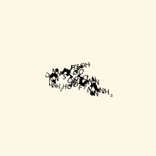 Nc1nc2c(ncn2[C@H]2C[C@@H](F)[C@@H](COP(=O)(O)O[C@@H]3[C@@H](COP(=O)(O)S)O[C@@H](n4nnc5c(N)ncnc54)C3(F)F)S2)c(=O)[nH]1